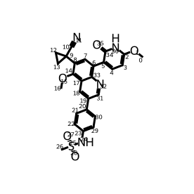 COc1ccc(-c2cc(C3(C#N)CC3)c(OC)c3cc(-c4ccc(NS(C)(=O)=O)cc4)cnc23)c(=O)[nH]1